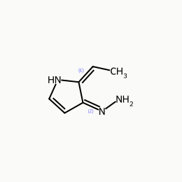 C/C=C1/NC=C/C1=N/N